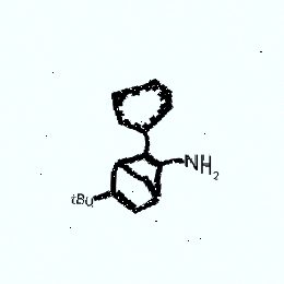 CC(C)(C)C1=CC2CC1C(c1ccccc1)C2N